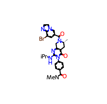 CNC(=O)c1ccc(-n2c(NC(C)C)nc3c(c2=O)C[C@@H](C)N(C(=O)c2cc(Br)c4nccn4c2)C3)cc1